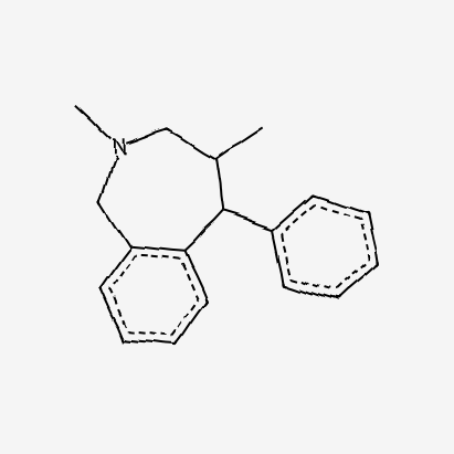 CC1CN(C)Cc2ccccc2C1c1ccccc1